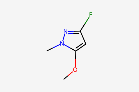 COc1cc(F)nn1C